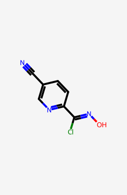 N#Cc1ccc(/C(Cl)=N/O)nc1